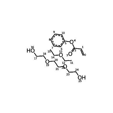 C=CC(=O)Oc1ccccc1.CCOCC.OCCOCCOCCO